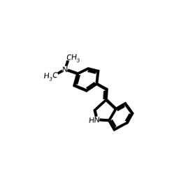 CN(C)c1ccc(C=C2CNc3ccccc32)cc1